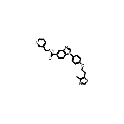 Cc1ncsc1CCOc1ccc(-n2cnc3cc(C(=O)NCc4cccnc4)ccc32)cc1